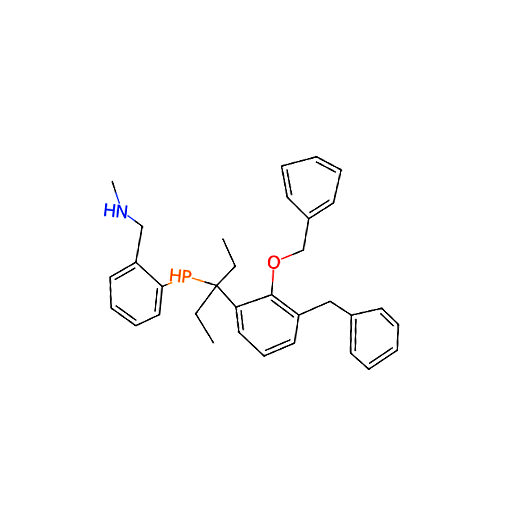 CCC(CC)(Pc1ccccc1CNC)c1cccc(Cc2ccccc2)c1OCc1ccccc1